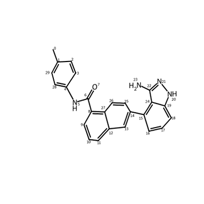 Cc1ccc(NC(=O)c2cccc3cc(-c4cccc5[nH]nc(N)c45)ccc23)cc1